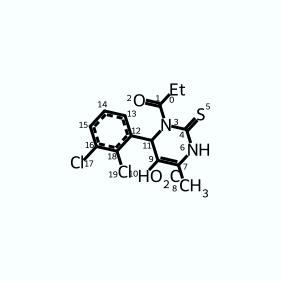 CCC(=O)N1C(=S)NC(C)=C(C(=O)O)C1c1cccc(Cl)c1Cl